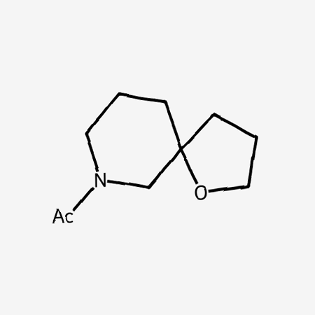 [CH2]C(=O)N1CCCC2(CCCO2)C1